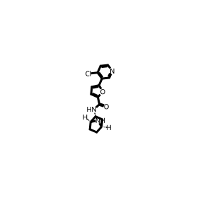 O=C(N[C@@H]1C[C@H]2CC[C@@H]1N2)c1ccc(-c2cnccc2Cl)o1